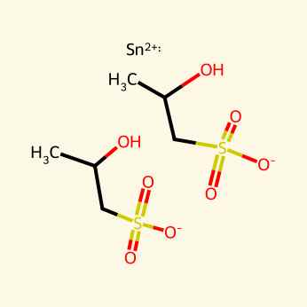 CC(O)CS(=O)(=O)[O-].CC(O)CS(=O)(=O)[O-].[Sn+2]